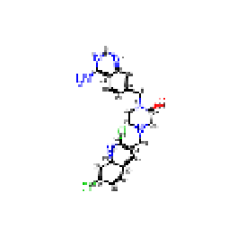 Nc1ncnc2cc(CN3CCN(Cc4cc5ccc(Cl)cc5nc4Cl)CC3=O)ccc12